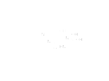 CC(Cn1c(=O)c(C2=NS(O)(O)c3ccccc3N2)c(O)c2cccnc21)c1ccccc1